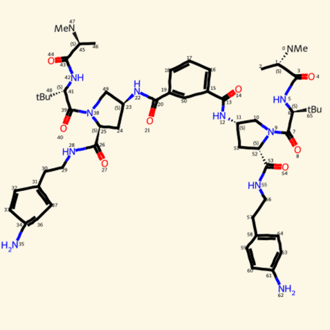 CN[C@@H](C)C(=O)N[C@H](C(=O)N1C[C@@H](NC(=O)c2cccc(C(=O)N[C@H]3C[C@@H](C(=O)NCCc4ccc(N)cc4)N(C(=O)[C@@H](NC(=O)[C@H](C)NC)C(C)(C)C)C3)c2)C[C@H]1C(=O)NCCc1ccc(N)cc1)C(C)(C)C